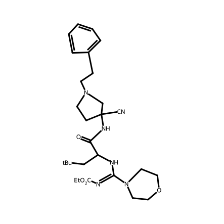 CCOC(=O)/N=C(\NC(CC(C)(C)C)C(=O)NC1(C#N)CCN(CCc2ccccc2)C1)N1CCOCC1